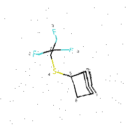 FC(F)(F)SC1C#CC1